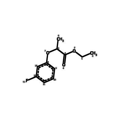 CCOC(=O)C(C)Oc1cccc(F)c1